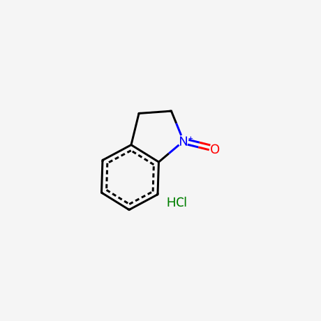 Cl.O=[N+]1CCc2ccccc21